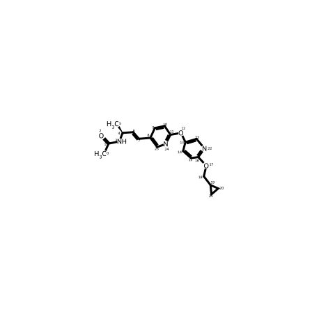 CC(=O)N[C@@H](C)/C=C/c1ccc(Oc2ccc(OCC3CC3)nc2)nc1